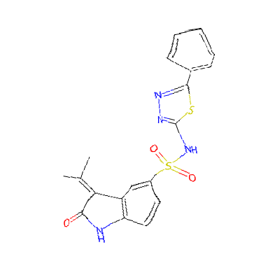 CC(C)=C1C(=O)Nc2ccc(S(=O)(=O)Nc3nnc(-c4ccccc4)s3)cc21